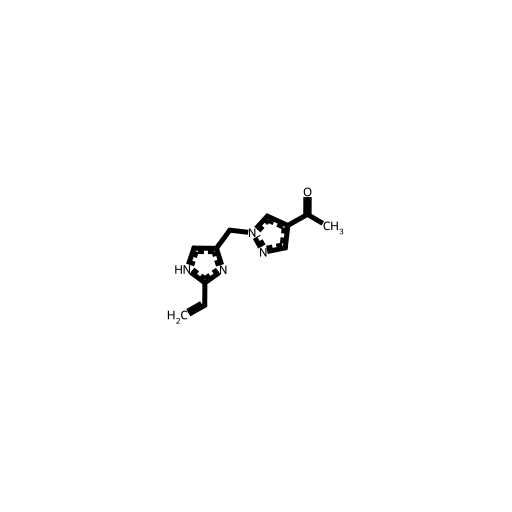 C=Cc1nc(Cn2cc(C(C)=O)cn2)c[nH]1